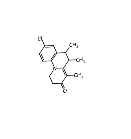 CC1=C2C(C)C(C)c3cc(Cl)ccc3N2CCC1=O